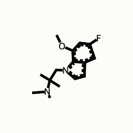 COc1cc(F)cc2ccn(CC(C)(C)N(C)C)c12